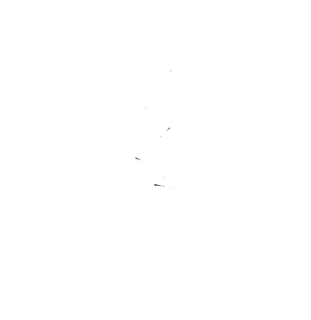 CC(O)[C@H]1CC[C@H]2[C@@H]3CC[C@H]4C[C@@H](OS(=O)(=O)O)C=C[C@]4(C)[C@H]3CC[C@]12C